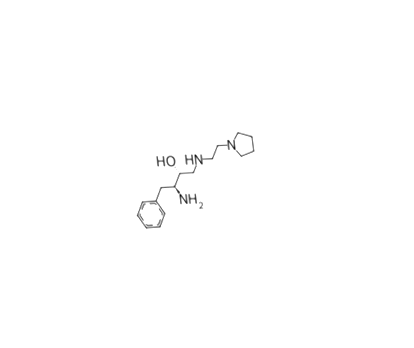 N[C@@H](Cc1ccccc1)[C@H](O)CNCCN1CCCC1